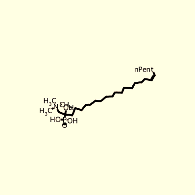 CCCCC/C=C\CCCCCCCCCCCCCCCCC(O)(C[N+](C)(C)C)P(=O)(O)O